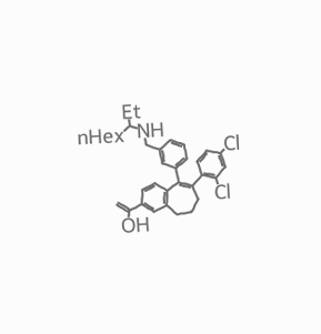 C=C(O)c1ccc2c(c1)CCCC(c1ccc(Cl)cc1Cl)=C2c1cccc(CNC(CC)CCCCCC)c1